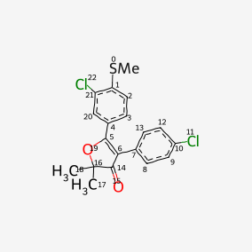 CSc1ccc(C2=C(c3ccc(Cl)cc3)C(=O)C(C)(C)O2)cc1Cl